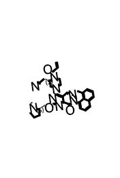 C=CC(=O)N1CCN(c2nc(OC[C@@H]3CCCN3C)nc3c(=O)n(-c4cccc5cccc(C)c45)ncc23)C[C@@H]1CC#N